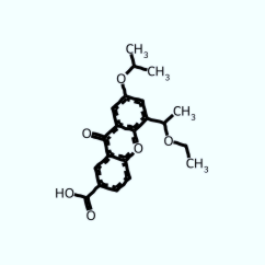 CCOC(C)c1cc(OC(C)C)cc2c(=O)c3cc(C(=O)O)ccc3oc12